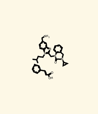 CC(C)CCn1c(CN2C(=O)N(C3CC3)Cc3ccccc32)nc2cc(CN)ccc21.O=C(O)C=Cc1ccccc1